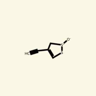 C#CC1=CS[S+]([O-])C1